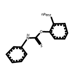 CCCCCc1ccccc1OC(=S)Nc1ccccc1